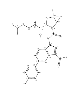 CC(=O)c1nn(CC(=O)N2C3C[C@]3(C)C[C@H]2C(=O)NCCC(C)C)c2ccc(-c3cnc(C)nc3)cc12